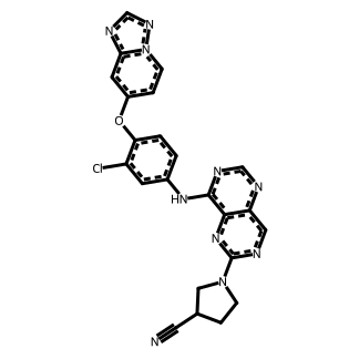 N#CC1CCN(c2ncc3ncnc(Nc4ccc(Oc5ccn6ncnc6c5)c(Cl)c4)c3n2)C1